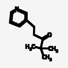 CC(C)(C)C(=O)CCc1cccnc1